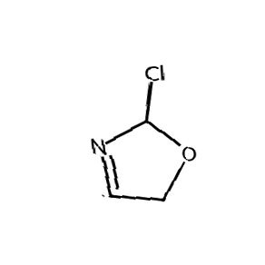 ClC1N=[C]CO1